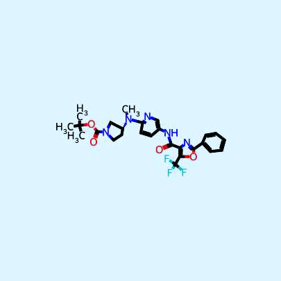 CN(c1ccc(NC(=O)c2nc(-c3ccccc3)oc2C(F)(F)F)cn1)[C@H]1CCN(C(=O)OC(C)(C)C)C1